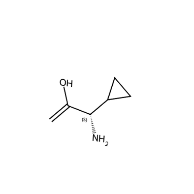 C=C(O)[C@@H](N)C1CC1